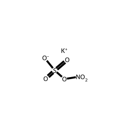 O=[N+]([O-])OS(=O)(=O)[O-].[K+]